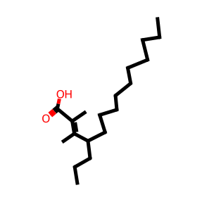 CCCCCCCCCCC(CCC)C(C)=C(C)C(=O)O